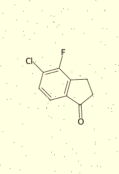 O=C1CCc2c1ccc(Cl)c2F